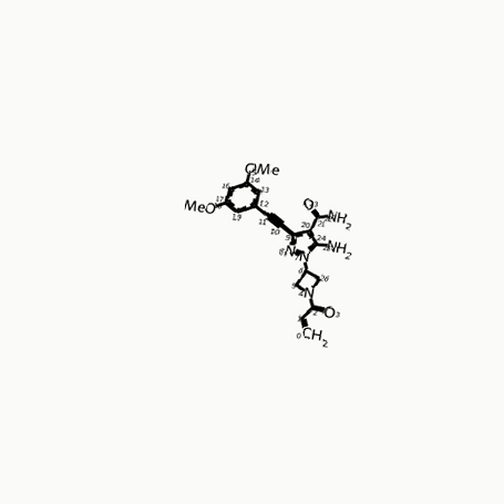 C=CC(=O)N1CC(n2nc(C#Cc3cc(OC)cc(OC)c3)c(C(N)=O)c2N)C1